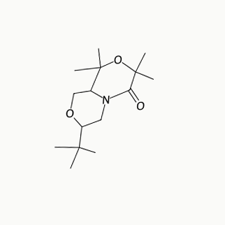 CC1(C)OC(C)(C)C2COC(C(C)(C)C)CN2C1=O